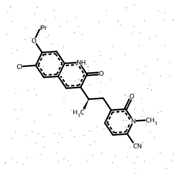 CC(C)Oc1cc2[nH]c(=O)c([C@H](C)Cc3ccc(C#N)n(C)c3=O)cc2cc1Cl